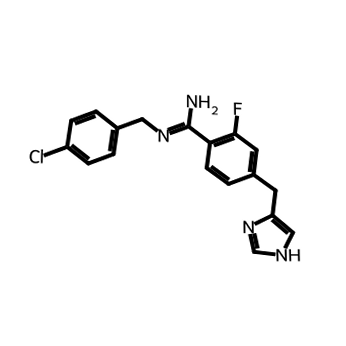 NC(=NCc1ccc(Cl)cc1)c1ccc(Cc2c[nH]cn2)cc1F